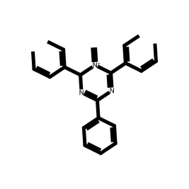 C=[N+]1C(C(/C=C\C)=C/C)=NC(c2ccccc2)=NC1C(/C=C\C)=C/C